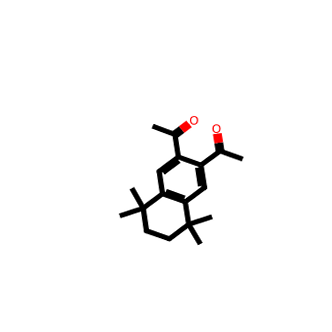 CC(=O)c1cc2c(cc1C(C)=O)C(C)(C)CCC2(C)C